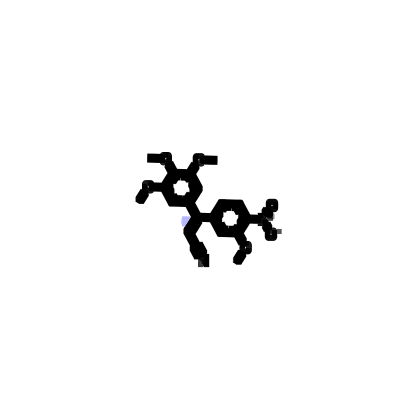 COc1cc(/C(=C\C#N)c2cc(OC)c(OC)c(OC)c2)ccc1[N+](=O)[O-]